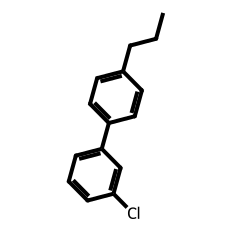 CCCc1ccc(-c2cccc(Cl)c2)cc1